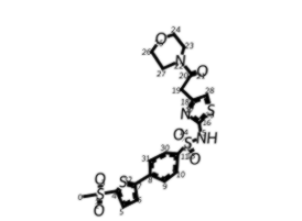 CS(=O)(=O)c1ccc(-c2ccc(S(=O)(=O)Nc3nc(CC(=O)N4CCOCC4)cs3)cc2)s1